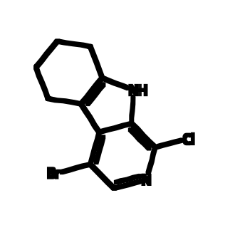 Clc1ncc(Br)c2c3c([nH]c12)CCCC3